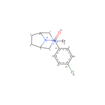 CCN1CC2CCC(C1)N2C(=O)c1ccc(Cl)cc1